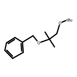 CC(C)(C)OCC(C)(C)OCc1ccccc1